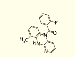 Cc1ccccc1Nc1ncccc1NC(=O)c1ccccc1F